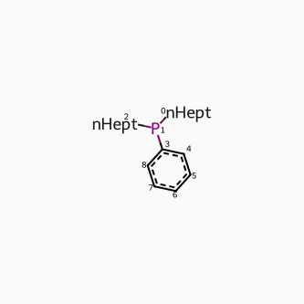 CCCCCCCP(CCCCCCC)c1ccccc1